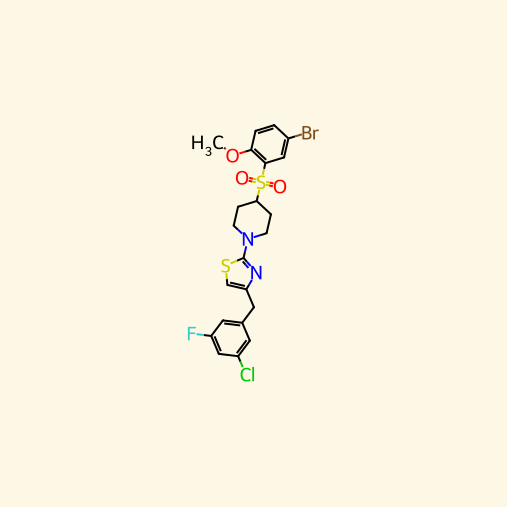 COc1ccc(Br)cc1S(=O)(=O)C1CCN(c2nc(Cc3cc(F)cc(Cl)c3)cs2)CC1